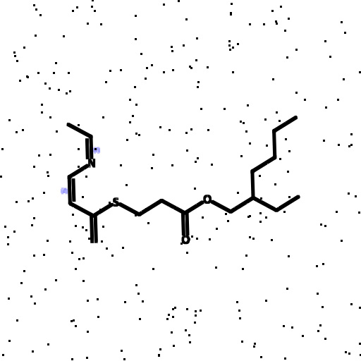 C=C(/C=C\N=C/C)SCCC(=O)OCC(CC)CCCC